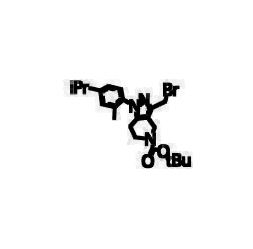 Cc1cc(C(C)C)ccc1-n1nc(CBr)c2c1CCN(C(=O)OC(C)(C)C)C2